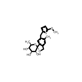 COc1ccc(Cc2cc3c(cc2C)CO[C@]32O[C@H](C)[C@@H](O)[C@H](O)[C@H]2O)s1